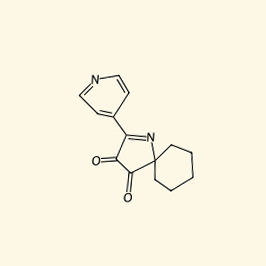 O=C1C(=O)C2(CCCCC2)N=C1c1ccncc1